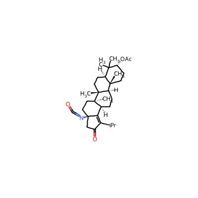 CC(=O)O[C@@H]1CC[C@]2(C)[C@H]3CC[C@H]4C5=C(C(C)C)C(=O)C[C@]5(N=C=O)CC[C@@]4(C)[C@]3(C)CC[C@H]2C1(C)C